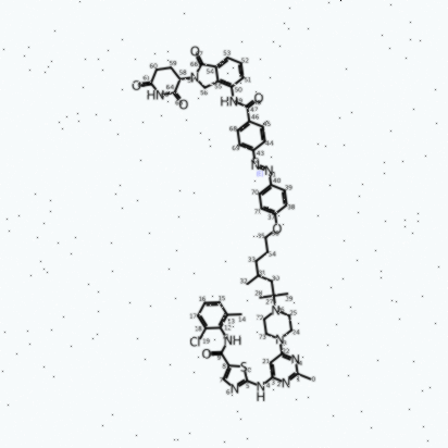 Cc1nc(Nc2ncc(C(=O)Nc3c(C)cccc3Cl)s2)cc(N2CCN(C(C)(C)CC(C)CCCOc3ccc(/N=N/c4ccc(C(=O)Nc5cccc6c5CN(C5CCC(=O)NC5=O)C6=O)cc4)cc3)CC2)n1